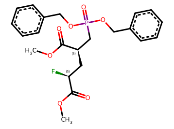 COC(=O)[C@H](C[C@H](F)C(=O)OC)CP(=O)(OCc1ccccc1)OCc1ccccc1